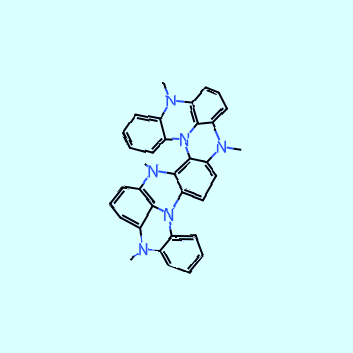 Cn1c2ccccc2n2c3ccc4c(c3n(C)c3cccc1c32)n1c2ccccc2n(C)c2cccc(c21)n4C